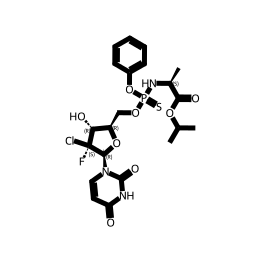 CC(C)OC(=O)[C@H](C)NP(=S)(OC[C@H]1O[C@@H](n2ccc(=O)[nH]c2=O)[C@@](F)(Cl)[C@@H]1O)Oc1ccccc1